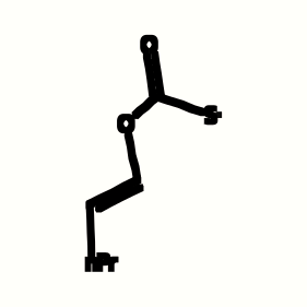 CCCC=COC(=O)[S]